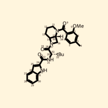 COc1cc(C)ccc1C(=O)N1CCCC2[C@H]1CN2C(=O)[C@@H](NC(=O)c1cc2ccccc2[nH]1)C(C)(C)C